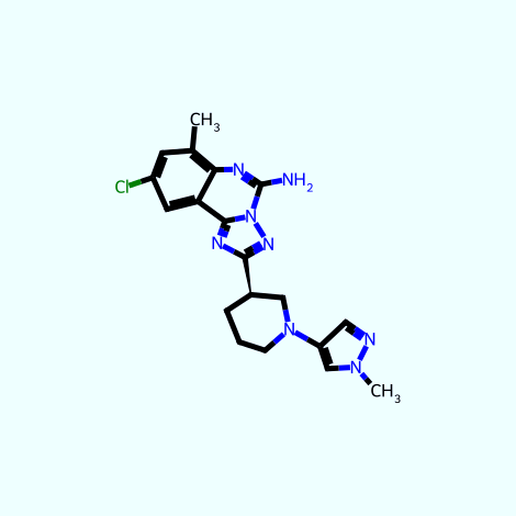 Cc1cc(Cl)cc2c1nc(N)n1nc([C@@H]3CCCN(c4cnn(C)c4)C3)nc21